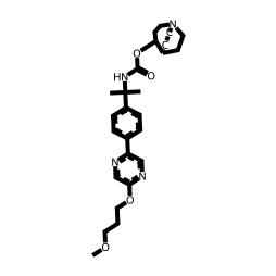 COCCCOc1cnc(-c2ccc(C(C)(C)NC(=O)OC3CCN4CCC3CC4)cc2)cn1